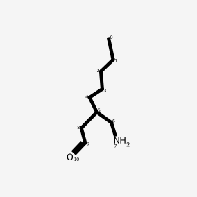 CCCCCC(CN)CC=O